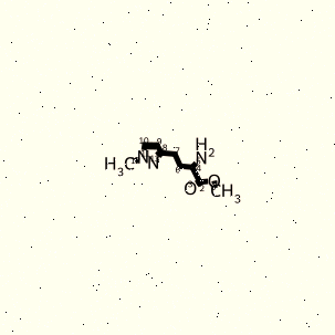 COC(=O)C(N)CCc1ccn(C)n1